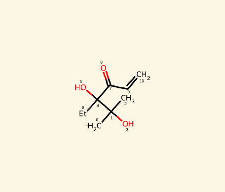 [CH2]C(C)(O)C(O)(CC)C(=O)C=C